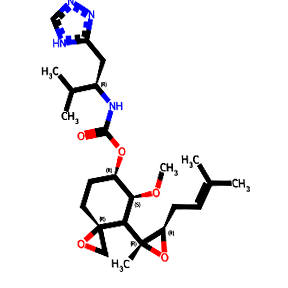 CO[C@H]1C([C@@]2(C)O[C@@H]2CC=C(C)C)[C@]2(CC[C@H]1OC(=O)N[C@H](Cc1nnc[nH]1)C(C)C)CO2